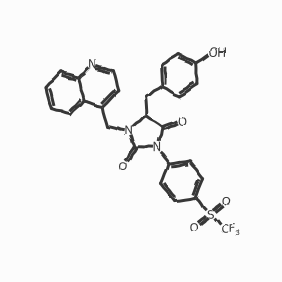 O=C1C(Cc2ccc(O)cc2)N(Cc2ccnc3ccccc23)C(=O)N1c1ccc(S(=O)(=O)C(F)(F)F)cc1